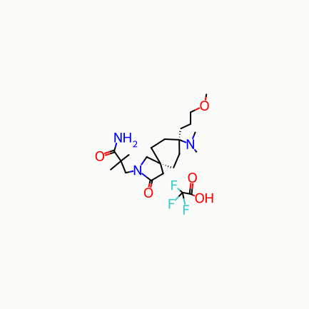 COCCC[C@]1(N(C)C)CC[C@]2(CC1)CC(=O)N(CC(C)(C)C(N)=O)C2.O=C(O)C(F)(F)F